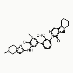 CN1CCn2nc(Nc3cc(-c4ccnc(-n5ncc6c7n(cc6c5=O)CCCC7)c4C=O)cn(C)c3=O)cc2C1